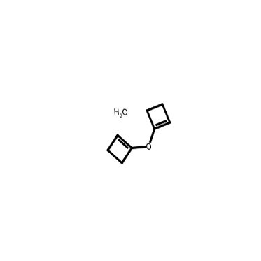 C1=C(OC2=CCC2)CC1.O